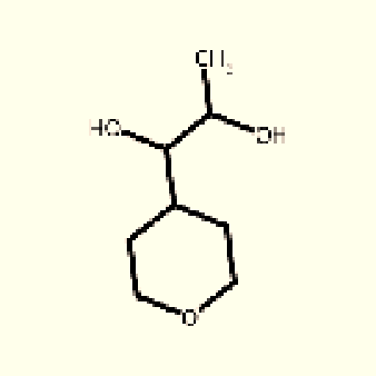 CC(O)C(O)C1CCOCC1